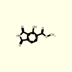 COC(=O)c1ccc2c(c1O)C(=O)NC2=O